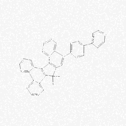 CC1(C)c2cc(-c3ccc(-c4ccncc4)cc3)c3ccccc3c2-c2c1c1ccccc1c1ccccc21